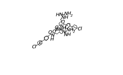 N=C(N)NCCCC(NC(=O)c1ccc(C23CCC(Cl)(CC2)CC3)cc1)OBOC(CCCNC(=N)N)NC(=O)c1ccc(C23CCC(Cl)(CC2)CC3)cc1